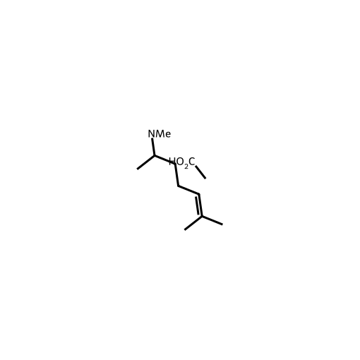 CC(=O)O.CNC(C)CCC=C(C)C